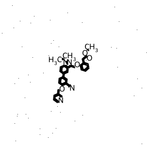 CCOC(=O)Cc1ccccc1OCc1nn(C(C)C)c2ccc(-c3ccc(OCc4cccnc4)c(C#N)c3)cc12